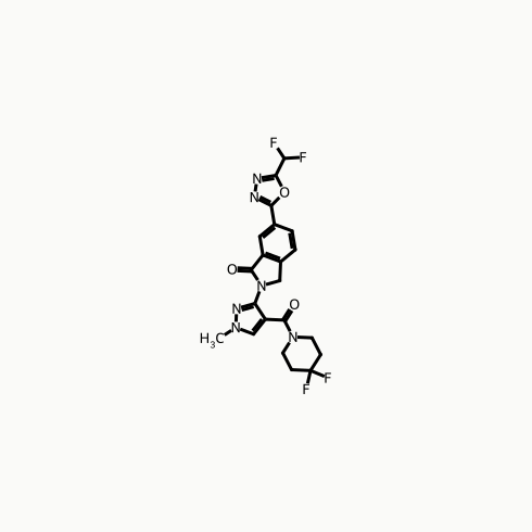 Cn1cc(C(=O)N2CCC(F)(F)CC2)c(N2Cc3ccc(-c4nnc(C(F)F)o4)cc3C2=O)n1